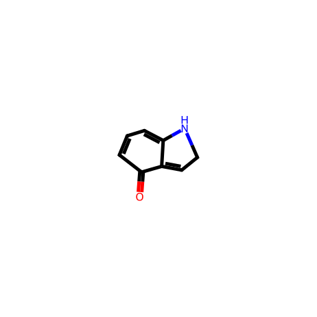 O=C1C=CC=C2NCC=C12